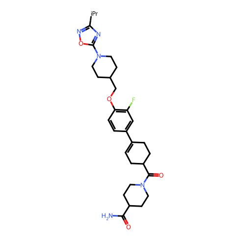 CC(C)c1noc(N2CCC(COc3ccc(C4=CCC(C(=O)N5CCC(C(N)=O)CC5)CC4)cc3F)CC2)n1